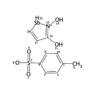 Cc1ccc(S(=O)(=O)[O-])cc1.OC1=[N+](O)[SbH][CH]=C1